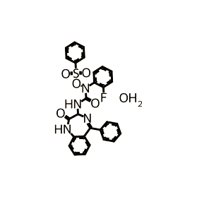 O.O=C1Nc2ccccc2C(c2ccccc2)=NC1NC(=O)N(OS(=O)(=O)c1ccccc1)c1ccccc1F